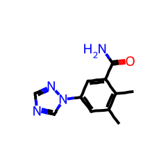 Cc1cc(-n2cncn2)cc(C(N)=O)c1C